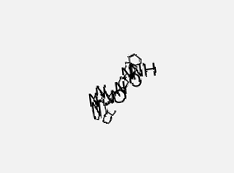 Cc1ccccc1-c1cn(CC(=O)N2CCC(N3CCC4=C(CCC=C4)NC3=O)CC2)c2ncnc(N3CCCC3)c12